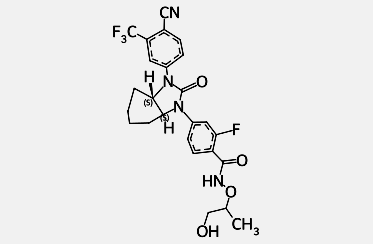 CC(CO)ONC(=O)c1ccc(N2C(=O)N(c3ccc(C#N)c(C(F)(F)F)c3)[C@H]3CCCC[C@@H]32)cc1F